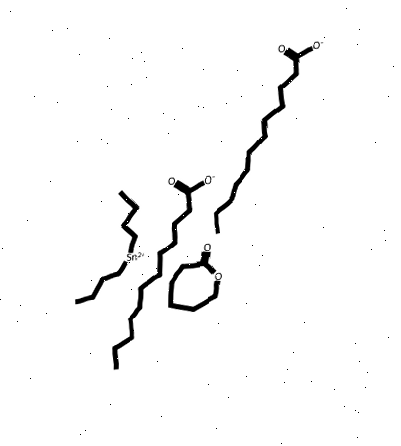 CCCCCCCCCCCC(=O)[O-].CCCCCCCCCCCC(=O)[O-].CCC[CH2][Sn+2][CH2]CCC.O=C1CCCCCO1